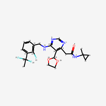 CC1(NC(=O)Cc2ncnc(NCc3cccc(C(C)(F)F)c3F)c2C2OCCO2)CC1